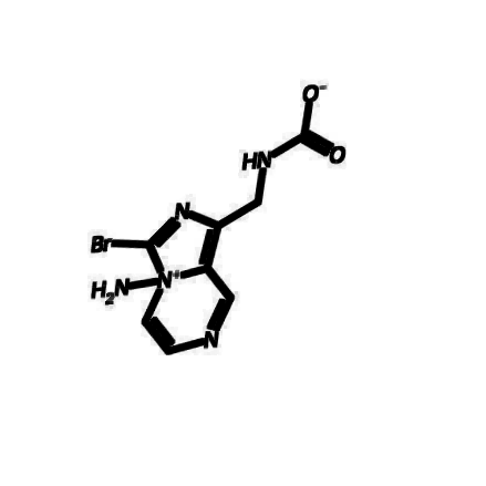 N[N+]12C=CN=CC1=C(CNC(=O)[O-])N=C2Br